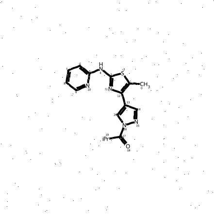 Cc1sc(Nc2ccccn2)nc1-c1cnn(C(=O)C(C)C)c1